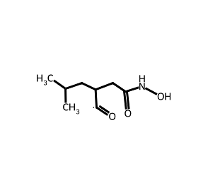 CC(C)CC([C]=O)CC(=O)NO